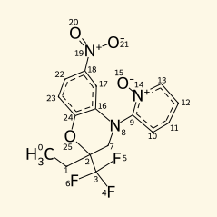 CCC1(C(F)(F)F)CN(c2cccc[n+]2[O-])c2cc([N+](=O)[O-])ccc2O1